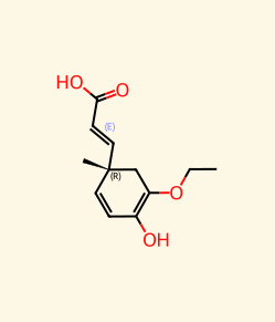 CCOC1=C(O)C=C[C@](C)(/C=C/C(=O)O)C1